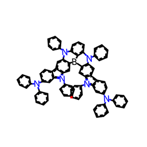 c1ccc(N(c2ccccc2)c2ccc3c4cc5c(cc4n(-c4ccccc4)c3c2)B2c3cc4c(cc3N(c3ccccc3)c3cccc(c32)N5c2ccccc2)c2ccc(N(c3ccccc3)c3ccccc3)cc2n4-c2ccccc2)cc1